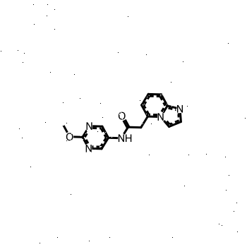 COc1ncc(NC(=O)Cc2cccc3nccn23)cn1